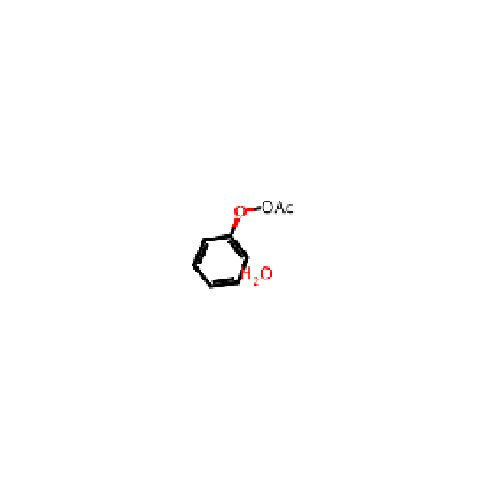 CC(=O)OOc1ccccc1.O